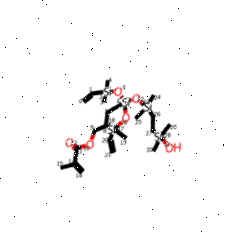 C=C[Si](C)(C)O[Si](CCCOC(=O)C(=C)C)(O[Si](C)(C)C=C)O[Si](C)(C)CC[Si](C)(C)O